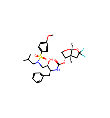 COc1ccc(S(=O)(=O)N(CC(C)C)C[C@@H](O)[C@H](Cc2ccccc2)NC(=O)O[C@@H]2CO[C@@H]3OC(F)(F)C[C@@H]32)cc1